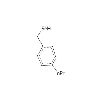 CCCc1ccc(C[SeH])cc1